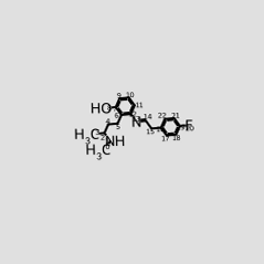 CNC(C)CCc1c(O)cccc1/N=C/Cc1ccc(F)cc1